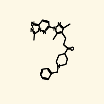 Cc1nn(-c2ccc3nnc(C)n3n2)c(C)c1CCC(=O)C1CCN(Cc2ccccc2)CC1